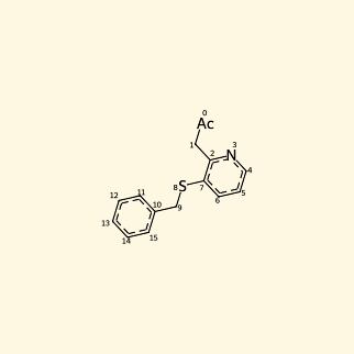 CC(=O)Cc1ncccc1SCc1ccccc1